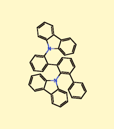 c1ccc(-c2cccc(-c3ccccc3-n3c4ccccc4c4ccccc43)c2-n2c3ccccc3c3ccccc32)cc1